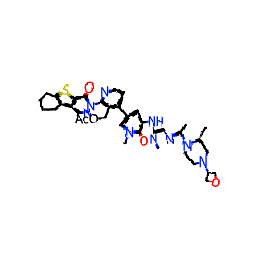 C=N/C(=C\N=C(/C)N1CCN(C2COC2)C[C@@H]1C)Nc1cc(-c2ccnc(-n3ncc4c5c(sc4c3=O)CCCC5)c2COC(C)=O)cn(C)c1=O